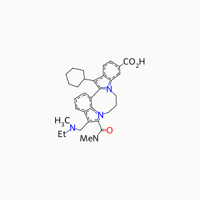 CCN(C)Cc1c(C(=O)NC)n2c3c(cccc13)-c1c(C3CCCCC3)c3ccc(C(=O)O)cc3n1CCC2